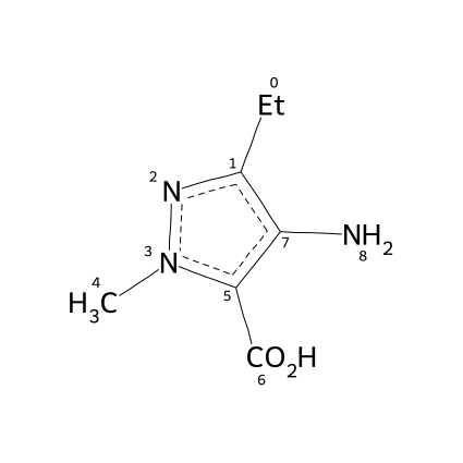 CCc1nn(C)c(C(=O)O)c1N